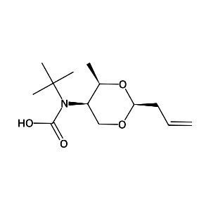 C=CC[C@H]1OC[C@@H](N(C(=O)O)C(C)(C)C)[C@@H](C)O1